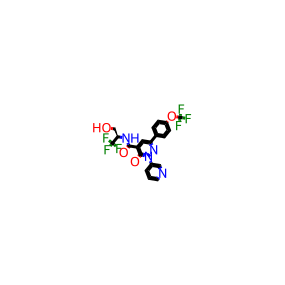 O=C(N[C@H](CO)C(F)(F)F)c1cc(-c2ccc(OC(F)(F)F)cc2)nn(-c2cccnc2)c1=O